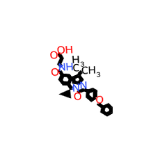 CC(C)C1CCC2(C1)N=C(c1ccc(OCc3ccccc3)cc1)C(=O)N2[C@@H](c1ccc(C(=O)NCCC(=O)O)cc1)C1CC1